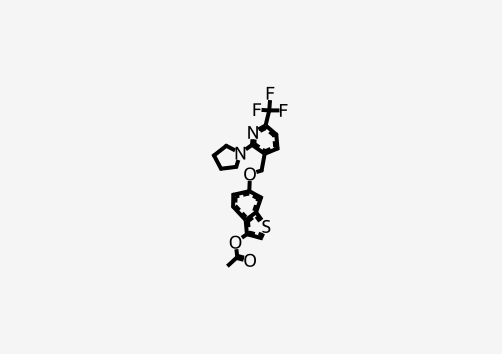 CC(=O)Oc1csc2cc(OCc3ccc(C(F)(F)F)nc3N3CCCC3)ccc12